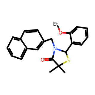 CCOc1ccccc1C1SC(C)(C)C(=O)N1Cc1ccc2ccccc2c1